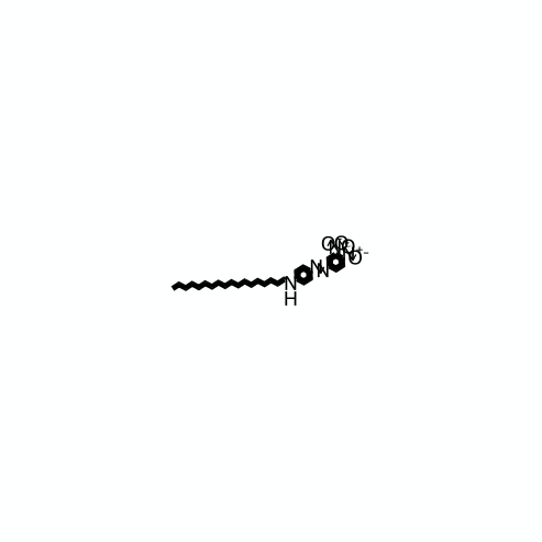 CCCCCCCCCCCCCCCCCCNc1ccc(N=Nc2ccc([N+](=O)[O-])c([N+](=O)[O-])c2)cc1